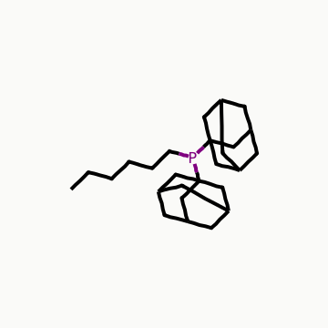 CCCCCCP(C12CC3CC(CC(C3)C1)C2)C12CC3CC(CC(C3)C1)C2